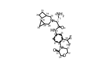 NC[C@H](C(=O)Nc1ccc(N2CCOCC2=O)c(C(F)F)c1)N(CC1CCC1)CC1CC1